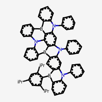 CC(C)c1cc(C(C)C)c(B2c3ccccc3N(c3ccccc3)c3cc4c(cc32)B2c3ccccc3N3c5ccccc5B5c6ccccc6N(c6ccccc6)c6cc(c2c3c65)N4c2ccccc2)c(C(C)C)c1